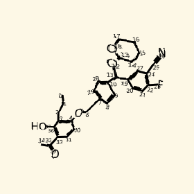 CCCc1c(OCc2ccc(C(OC3CCCCO3)c3ccc(F)c(C#N)c3)cc2)ccc(C(C)=O)c1O